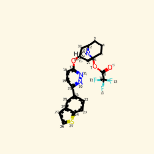 CN1C2CCCC1(OC(=O)C(F)(F)F)CC(Oc1ccc(-c3ccc4sccc4c3)nn1)C2